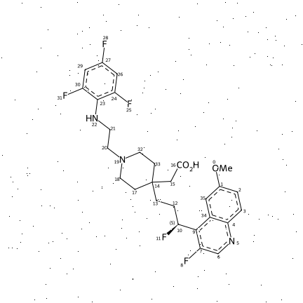 COc1ccc2ncc(F)c([C@@H](F)CCC3(CC(=O)O)CCN(CCNc4c(F)cc(F)cc4F)CC3)c2c1